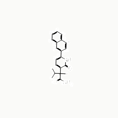 CC(C)C(C)(C(N)=O)c1ccc(-c2ccc3ccccc3c2)[nH]c1=O